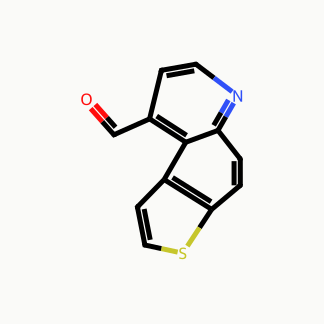 O=Cc1ccnc2ccc3sccc3c12